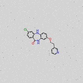 O=C1Nc2cc(OCCc3cccnc3)ccc2Nc2cc(Cl)ccc21